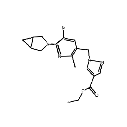 CCOC(=O)c1cnn(Cc2cc(Br)c(N3CC4CC4C3)nc2C)c1